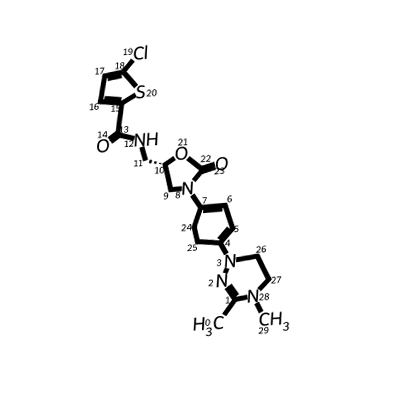 CC1=NN(C2=CC=C(N3C[C@H](CNC(=O)c4ccc(Cl)s4)OC3=O)CC2)CCN1C